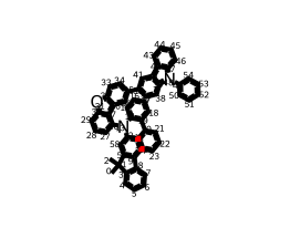 CC1(C)c2ccccc2-c2ccc(N(c3ccccc3-c3ccccc3)c3cccc4oc5ccc(-c6ccc7c(c6)c6ccccc6n7-c6ccccc6)cc5c34)cc21